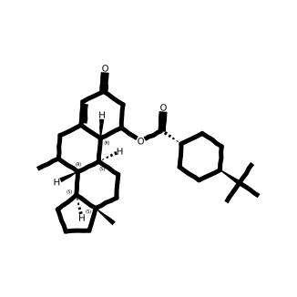 CC1CC2=CC(=O)CC(OC(=O)[C@H]3CC[C@H](C(C)(C)C)CC3)[C@@H]2[C@H]2CC[C@]3(C)CCC[C@H]3[C@H]12